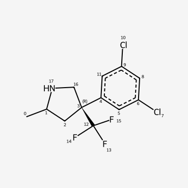 CC1C[C@](c2cc(Cl)cc(Cl)c2)(C(F)(F)F)CN1